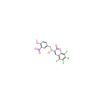 COc1ccc(C[S+]([O-])/C(=C/c2c(F)c(F)c(F)c(F)c2F)[N+](=O)[O-])cc1[N+](=O)[O-]